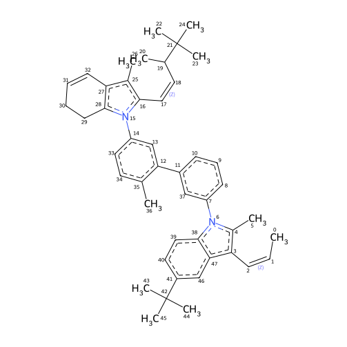 C/C=C\c1c(C)n(-c2cccc(-c3cc(-n4c(/C=C\C(C)C(C)(C)C)c(C)c5c4CCC=C5)ccc3C)c2)c2ccc(C(C)(C)C)cc12